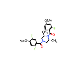 COc1ccc(C(=O)N2[C@H](C)CN(C(=O)c3cc(F)c(OC)cc3F)C[C@H]2C)c(F)c1